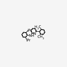 Cc1cccc(C)c1-c1cccc(Nc2c(C(C)C)cccc2C(C)C)n1